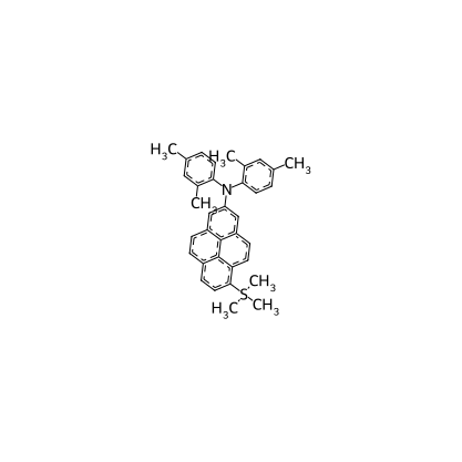 Cc1ccc(N(c2cc3ccc4ccc(S(C)(C)C)c5ccc(c2)c3c45)c2ccc(C)cc2C)c(C)c1